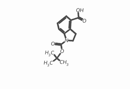 CC(C)(C)OC(=O)N1CCc2c(C(=O)O)cccc21